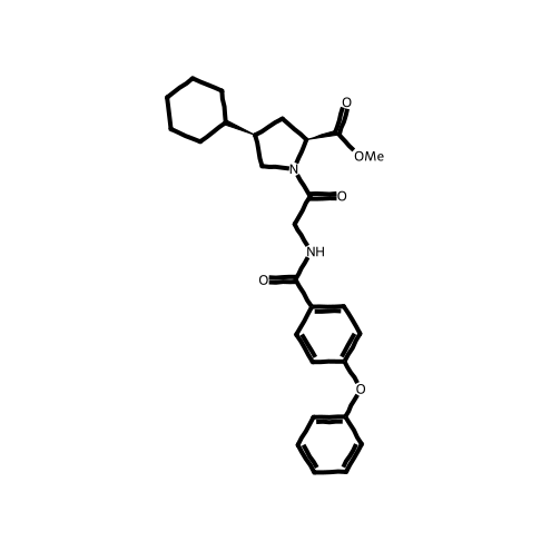 COC(=O)[C@@H]1C[C@H](C2CCCCC2)CN1C(=O)CNC(=O)c1ccc(Oc2ccccc2)cc1